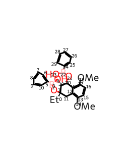 CC[C@]1(OB(O)c2ccccc2)Cc2c(OC)ccc(OC)c2[C@@H](OB(O)c2ccccc2)C1